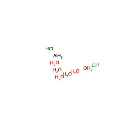 Cl.Cl.O.O.O.O.O.O.[AlH3]